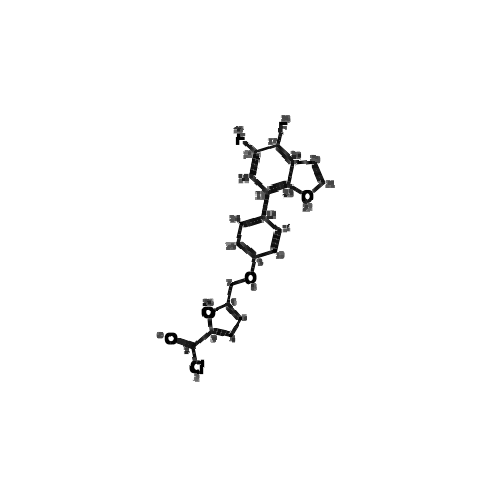 O=C(Cl)c1ccc(COc2ccc(-c3cc(F)c(F)c4ccoc34)cc2)o1